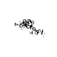 Cc1nc2c(cc1C#N)CCCC2N(c1ccc2c(c1)c(-c1cnco1)nn2COCCS(C)(C)C)S(=O)(=O)c1ccccc1[N+](=O)[O-]